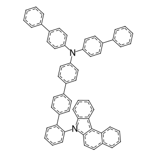 c1ccc(-c2ccc(N(c3ccc(-c4ccccc4)cc3)c3ccc(-c4ccc(-c5ccccc5-n5c6ccccc6c6c7ccccc7ccc65)cc4)cc3)cc2)cc1